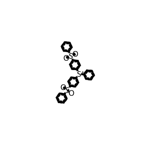 O=S(=O)(c1ccccc1)c1ccc([S+](c2ccccc2)c2ccc(S(=O)(=O)c3ccccc3)cc2)cc1